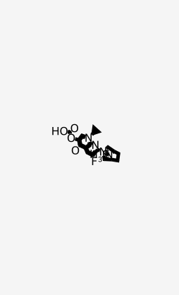 CN1C2CCC1CN(c1nc3c(cc1F)c(=O)c(OC(=O)O)cn3C1CC1)C2